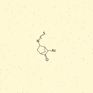 CC(=O)C1C(=O)C2CC(N=C=S)C1C2